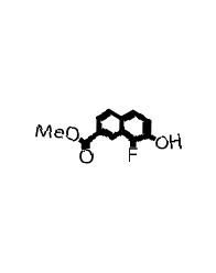 COC(=O)c1ccc2ccc(O)c(F)c2c1